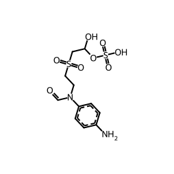 Nc1ccc(N(C=O)CCS(=O)(=O)CC(O)OS(=O)(=O)O)cc1